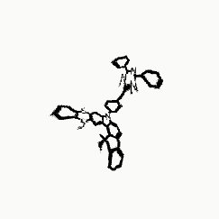 CC1(C)c2ccccc2-c2ccc3c(c21)c1cc2c(cc1n3-c1ccc(-c3nc(-c4ccccc4)nc(-c4ccccc4)n3)cc1)Sc1ccccc1S2